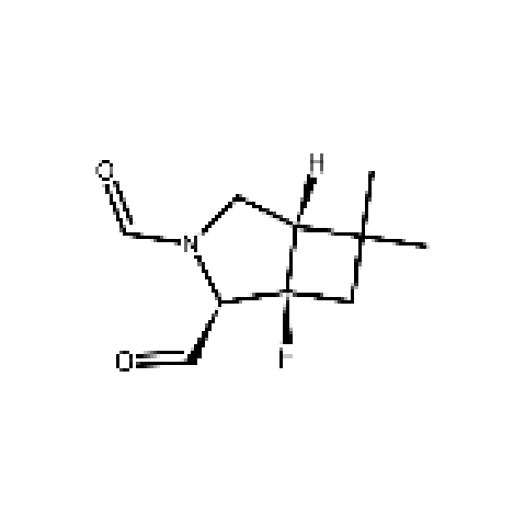 CC1(C)C[C@@H]2[C@@H](C=O)N(C=O)C[C@@H]21